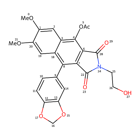 COc1cc2c(OC(C)=O)c3c(c(-c4ccc5c(c4)OCO5)c2cc1OC)C(=O)N(CCO)C3=O